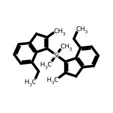 CCc1cccc2c1C([Si](C)(C)C1=C(C)[CH]c3cccc(CC)c31)=C(C)[CH]2